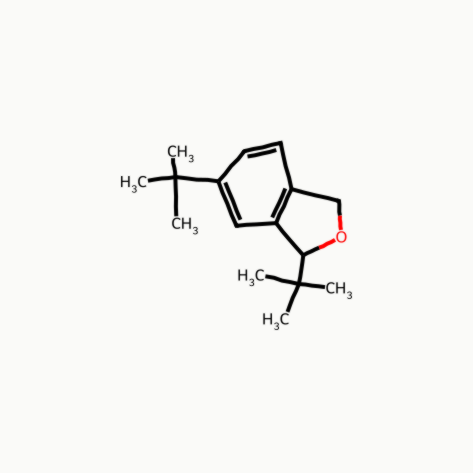 CC(C)(C)c1ccc2c(c1)C(C(C)(C)C)OC2